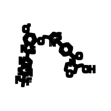 COc1cc(OCc2csc(-c3ccc(C(=O)N4CCOCC4CO)cc3)n2)c2sc(-c3cn4nc(C(C)(F)F)sc4n3)nc2c1